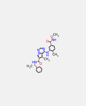 CONC(=O)c1ccc(C)c(Nc2ncnn3cc(C(=O)N[C@@H](C)c4ccccc4)c(C)c23)c1